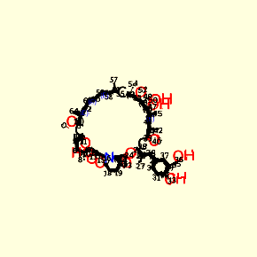 CO[C@@H]1C[C@@H]2CC[C@@H](C)[C@@](O)(O2)C(=O)C(=O)N2CCCC[C@H]2C(=O)OC([C@H](C)CC2CC[C@@H](O)[C@H](CO)C2)CC(=O)[C@H](C)/C=C(\C)[C@@H](O)[C@@H](CO)C(=O)[C@@H](C)C[C@H](C)/C=C/C=C/C=C/1C